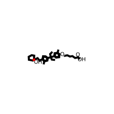 CCC(CC)(c1ccc(CCC2(O)CCCCC2)c(C)c1)c1ccc(OCCCCCC(=O)O)c(C)c1